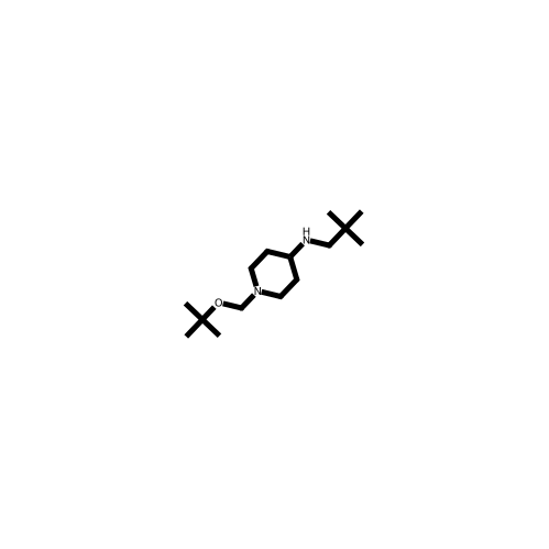 CC(C)(C)CNC1CCN(COC(C)(C)C)CC1